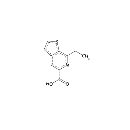 CCc1nc(C(=O)O)cc2ccsc12